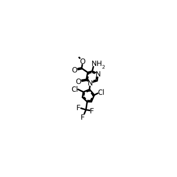 COC(=O)c1c(N)ncn(-c2c(Cl)cc(C(F)(F)F)cc2Cl)c1=O